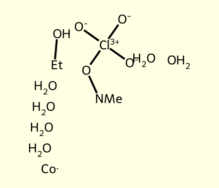 CCO.CNO[Cl+3]([O-])([O-])[O-].O.O.O.O.O.O.[Co]